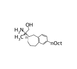 CCCCCCCCc1ccc2c(c1)CCC[C@H]([C@](C)(N)CO)C2